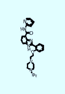 CC(C)N1CCN(CCOc2ccccc2-c2nc3c(C(=O)Nc4ccccn4)cccc3[nH]2)CC1